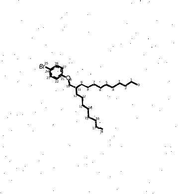 CCCCCCCCCCC(CCCCCCCC)COc1ccc(Br)cc1